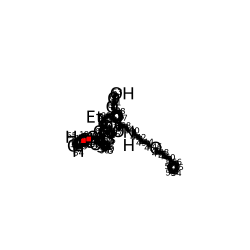 CC[N+](CC)(CC(=O)OC(C(=O)OC1CC2[C@H]3O[C@H]3C(C1)[N+]2(C)C)(c1cccs1)c1cccs1)Cc1cc(C(O)CNCCCCCCOCCCCc2ccccc2)ccc1OCOO